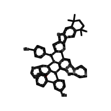 CC(C)(C)c1ccc(N2B3c4cc5sccc5cc4N(c4ccc(C(C)(C)C)cc4-c4ccccc4)c4c3c(cc3c4oc4ccccc43)-c3cc4c(cc32)oc2cc3c(cc24)C(C)(C)CCC3(C)C)cc1